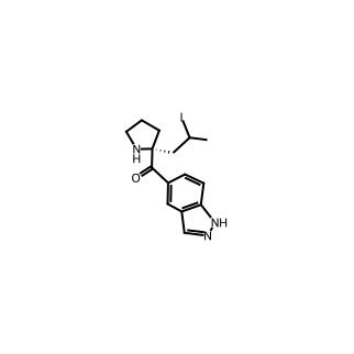 CC(I)C[C@@]1(C(=O)c2ccc3[nH]ncc3c2)CCCN1